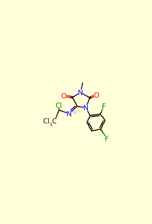 CN1C(=O)/C(=N\C(Cl)C(Cl)(Cl)Cl)N(c2ccc(F)cc2F)C1=O